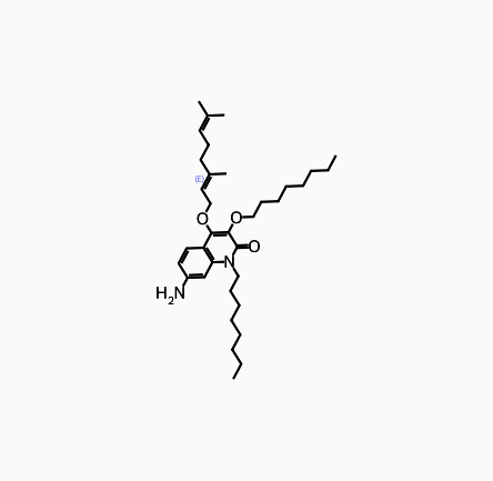 CCCCCCCCOc1c(OC/C=C(\C)CCC=C(C)C)c2ccc(N)cc2n(CCCCCCCC)c1=O